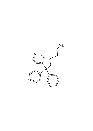 PCCCCC(c1ccccc1)(c1ccccc1)c1ccccc1